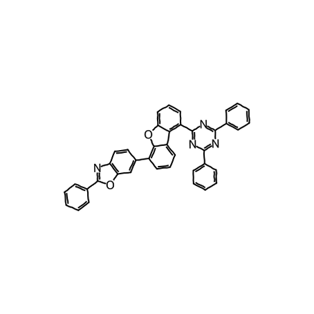 c1ccc(-c2nc(-c3ccccc3)nc(-c3cccc4oc5c(-c6ccc7nc(-c8ccccc8)oc7c6)cccc5c34)n2)cc1